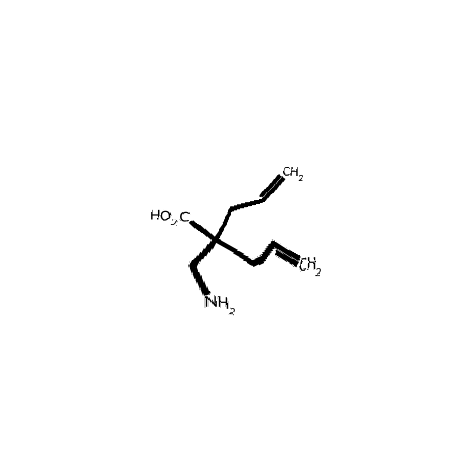 C=CCC(CN)(CC=C)C(=O)O